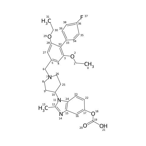 CCOc1cc(CN2CCC(n3c(C)nc4cc(OC(=O)O)ccc43)CC2)cc(OCC)c1-c1ccc(F)cc1